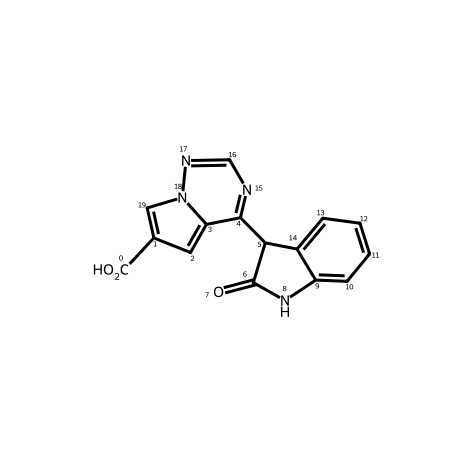 O=C(O)c1cc2c(C3C(=O)Nc4ccccc43)ncnn2c1